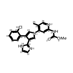 COC(=O)Nc1cc(-n2cc(-c3ncc[nH]3)c(-c3ccccc3Cl)c2)c(C)cn1